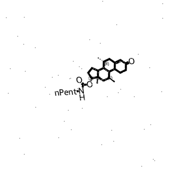 CCCCCNC(=O)O[C@H]1CCC2C3C(C4CCC(=O)C=C4C[C@H]3C)[C@@H](C)C[C@@]21C